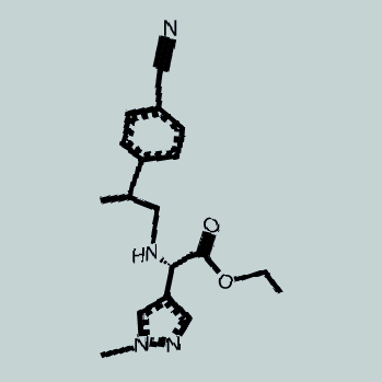 CCOC(=O)[C@@H](NCC(C)c1ccc(C#N)cc1)c1cnn(C)c1